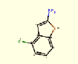 Nc1cc2c(Cl)cccc2s1